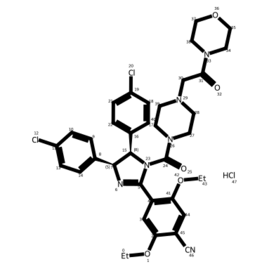 CCOc1cc(C2=N[C@@H](c3ccc(Cl)cc3)[C@@H](c3ccc(Cl)cc3)N2C(=O)N2CCN(CC(=O)N3CCOCC3)CC2)c(OCC)cc1C#N.Cl